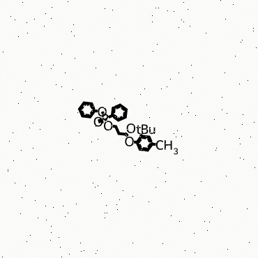 Cc1ccc(OC(=O)CCOP(=O)(Oc2ccccc2)c2ccccc2)c(C(C)(C)C)c1